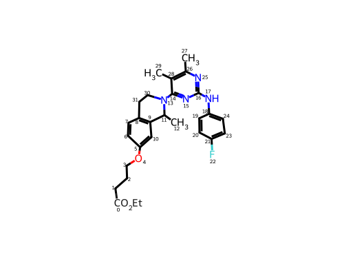 CCOC(=O)CCCOc1ccc2c(c1)C(C)N(c1nc(Nc3ccc(F)cc3)nc(C)c1C)CC2